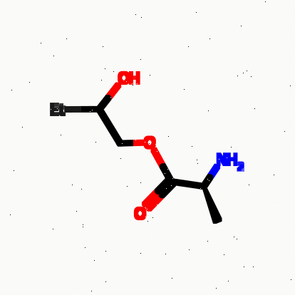 CCC(O)COC(=O)[C@H](C)N